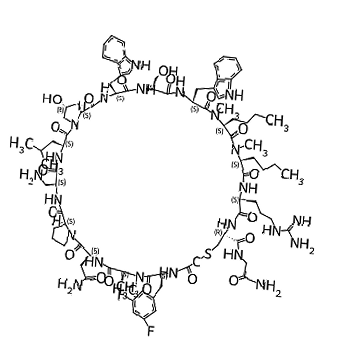 CCCC[C@H]1C(=O)N(C)[C@@H](CCCC)C(=O)N[C@@H](CCCNC(=N)N)C(=O)N[C@H](C(=O)NCC(N)=O)CSCC(=O)N[C@@H](Cc2cc(F)cc(F)c2)C(=O)N(C)[C@@H](C)C(=O)N[C@@H](CC(N)=O)C(=O)N2CCC[C@H]2C(=O)N[C@@H](CN)C(=O)N[C@@H](CC(C)C)C(=O)N2C[C@H](O)C[C@H]2C(=O)N[C@@H](Cc2c[nH]c3ccccc23)C(=O)N[C@@H](CO)C(=O)N[C@@H](Cc2c[nH]c3ccccc23)C(=O)N1C